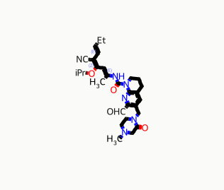 CC/C=C/C(C#N)=C(\C=C(/C)NC(=O)N1CCCc2cc(CN3CCN(C)CC3=O)c(C=O)nc21)OC(C)C